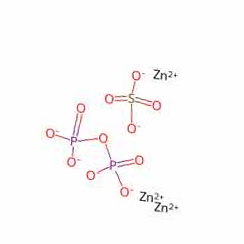 O=P([O-])([O-])OP(=O)([O-])[O-].O=S(=O)([O-])[O-].[Zn+2].[Zn+2].[Zn+2]